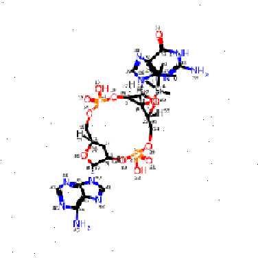 CC(C)(C)[Si](C)(C)O[C@H]1[C@H]2OP(=O)(O)OC[C@@H]3C[C@@H](OP(=O)(O)OC[C@H]1O[C@H]2n1cnc2c(=O)[nH]c(N)nc21)[C@H](n1cnc2c(N)ncnc21)O3